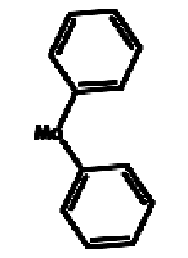 c1cc[c]([Mo][c]2ccccc2)cc1